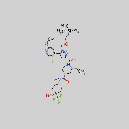 CCC1CC(C(=O)N[C@H]2CC[C@@](O)(C(F)(F)F)CC2)CCN1C(=O)c1cc(-c2cc(OC)ncc2F)n(COCC[Si](C)(C)C)n1